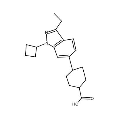 CCc1nn(C2CCC2)c2cc(C3CCC(C(=O)O)CC3)ccc12